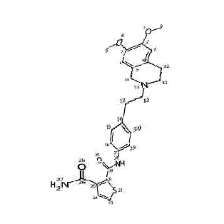 COc1cc2c(cc1OC)CN(CCc1ccc(NC(=O)c3sccc3C(N)=O)cc1)CC2